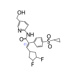 O=C(Nc1ccc(CO)cn1)/C(=C/C1CC(F)C(F)C1)c1ccc(S(=O)(=O)C2CC2)cc1